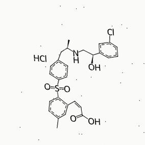 Cc1ccc(S(=O)(=O)c2ccc(C[C@@H](C)NC[C@H](O)c3cccc(Cl)c3)cc2)c(/C=C\C(=O)O)c1.Cl